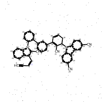 C#C/C=C\c1c(C)n(-c2ccccc2-c2cccc(C3=C(C#N)C(n4c5ccc(C#N)cc5c5cc(C#N)ccc54)CC=C3)c2)c2ccccc12